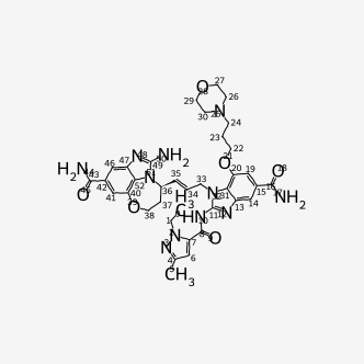 CCn1nc(C)cc1C(=O)Nc1nc2cc(C(N)=O)cc(OCCCN3CCOCC3)c2n1C/C=C/[C@H]1CCOc2cc(C(N)=O)cc3nc(N)n1c23